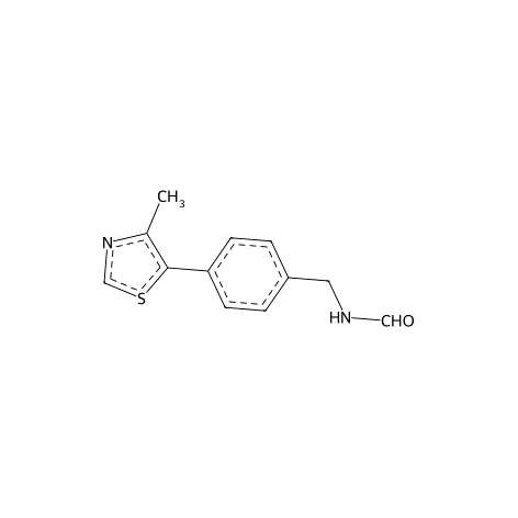 Cc1ncsc1-c1ccc(CNC=O)cc1